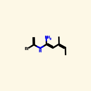 C=C(CC)N/C(N)=C/C(C)=C\C